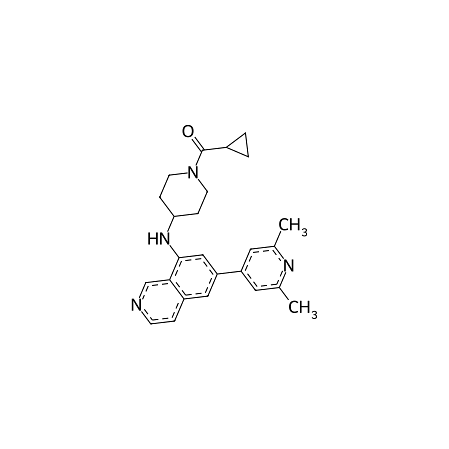 Cc1cc(-c2cc(NC3CCN(C(=O)C4CC4)CC3)c3cnccc3c2)cc(C)n1